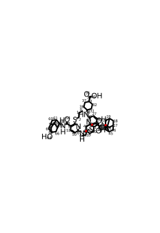 CCCSc1nc(NC2CCC(C(=O)O[C@]34CC5CC(C3)[C@H](NC(=O)c3ccc(NC6CCC(C(=O)O)CC6)nc3SCCC)C(C5)C4)CC2)ccc1C(=O)N[C@H]1C2CC3CC1C[C@@](O)(C3)C2